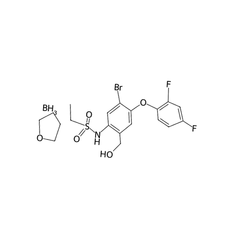 B.C1CCOC1.CCS(=O)(=O)Nc1cc(Br)c(Oc2ccc(F)cc2F)cc1CO